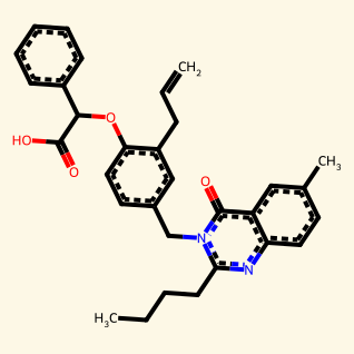 C=CCc1cc(Cn2c(CCCC)nc3ccc(C)cc3c2=O)ccc1OC(C(=O)O)c1ccccc1